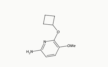 COc1ccc(N)nc1OC1CCC1